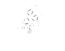 Cc1ccc(-c2cnc(N)c(/C(=N/N=N)N(C)c3cccc(F)c3F)c2)cc1